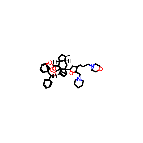 CC(C)C1=CC2CC3(C4OCCO4)[C@@H]4CC[C@@H](C)[C@H]4CC2(C2CC(CCCN4CCOCC4)C(CN4CCCCC4)O2)C13C(=O)OC(c1ccccc1)c1ccccc1